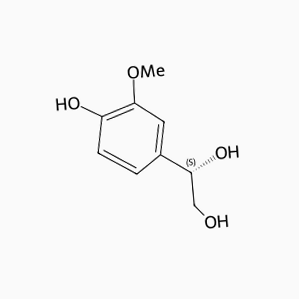 COc1cc([C@H](O)CO)ccc1O